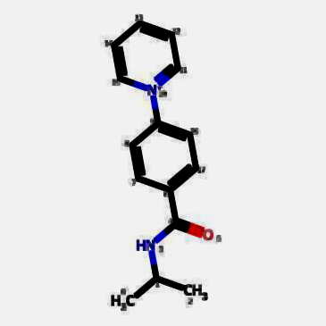 CC(C)NC(=O)c1ccc(-[n+]2ccccc2)cc1